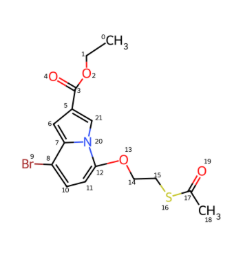 CCOC(=O)c1cc2c(Br)ccc(OCCSC(C)=O)n2c1